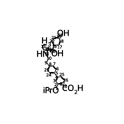 CC(C)Oc1cc(-c2ccc(CCN[C@@H](C)[C@H](O)c3ccc(O)cc3)cc2)ccc1C(=O)O